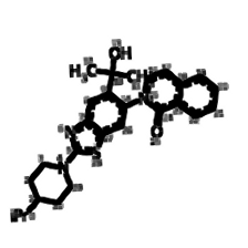 CC(C)C1CCN(c2nc3cc(C(C)(C)O)c(-n4ccc5ccccc5c4=O)cc3s2)CC1